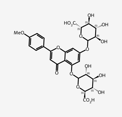 COc1ccc(-c2cc(=O)c3c(OC4O[C@H](C(=O)O)[C@@H](O)[C@H](O)[C@H]4O)cc(OC4O[C@H](C(=O)O)[C@@H](O)[C@H](O)[C@H]4O)cc3o2)cc1